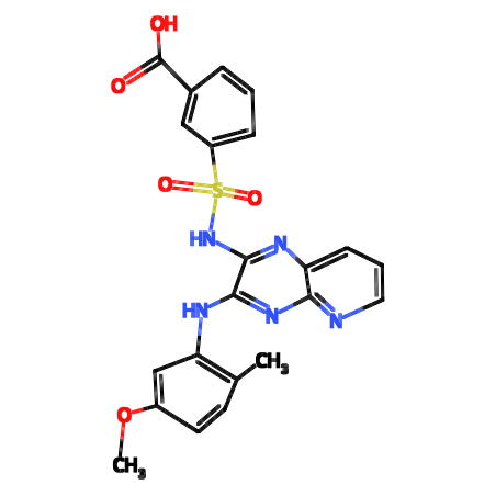 COc1ccc(C)c(Nc2nc3ncccc3nc2NS(=O)(=O)c2cccc(C(=O)O)c2)c1